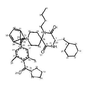 CCCCN1C(=O)[C@H](CC2CCCCC2)NC(=O)C12CCN(C1(c3cc(C)c(C(=O)N4CCCC4)c(C)c3)C3=CC=C1C=C3)CC2